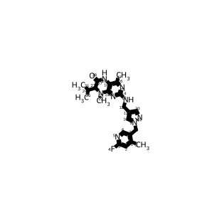 Cc1cc(F)ncc1Cn1cc(CNc2nc(C)c3c(n2)N(C)C(C(C)C)C(=O)N3)cn1